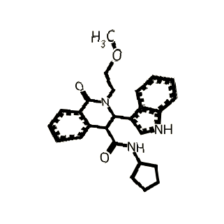 COCCN1C(=O)c2ccccc2C(C(=O)NC2CCCC2)C1c1c[nH]c2ccccc12